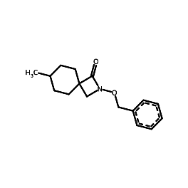 CC1CCC2(CC1)CN(OCc1ccccc1)C2=O